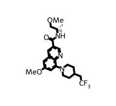 COC[C@H](C)NC(=O)c1cnc2c(N3CCC(CC(F)(F)F)CC3)cc(OC)cc2c1